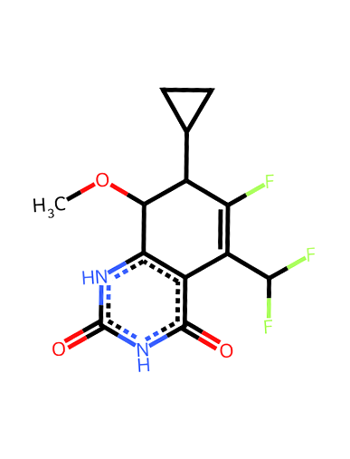 COC1c2[nH]c(=O)[nH]c(=O)c2C(C(F)F)=C(F)C1C1CC1